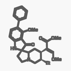 CC[C@@H]1CN2CC[C@]3(Nc4ccc(-c5ccccc5)c(OC)c4C3=O)C2C[C@@H]1/C(=C\OC)C(=O)OC